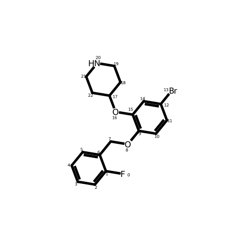 Fc1ccccc1COc1ccc(Br)cc1OC1CCNCC1